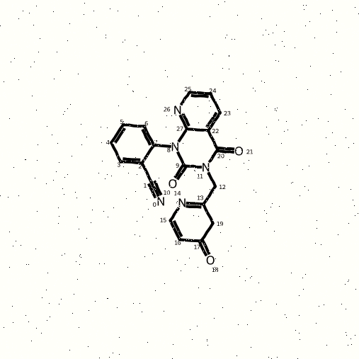 N#Cc1ccccc1-n1c(=O)n(CC2=NC=CC(=O)C2)c(=O)c2cccnc21